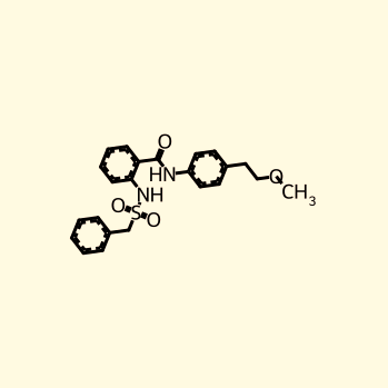 COCCc1ccc(NC(=O)c2ccccc2NS(=O)(=O)Cc2ccccc2)cc1